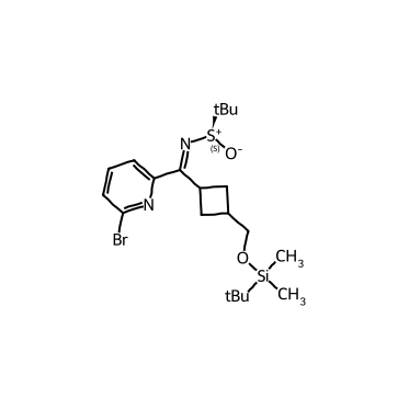 CC(C)(C)[S@@+]([O-])N=C(c1cccc(Br)n1)C1CC(CO[Si](C)(C)C(C)(C)C)C1